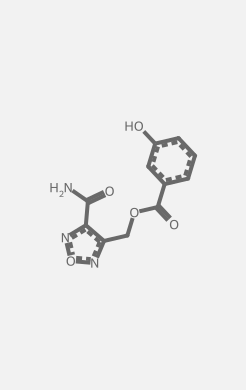 NC(=O)c1nonc1COC(=O)c1cccc(O)c1